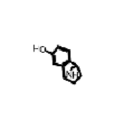 Oc1ccc2c(c1)C1CCC2CN1